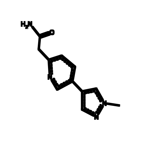 Cn1cc(-c2ccc(CC(N)=O)nc2)cn1